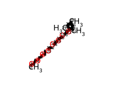 COCCOCCOCCOCCOCCOCCOCCOc1c(C)cc(C)cc1C